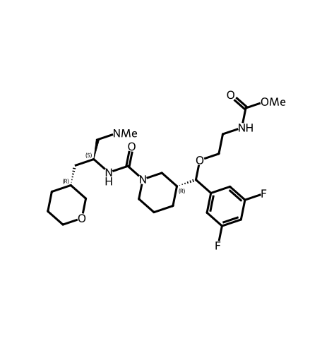 CNC[C@H](C[C@H]1CCCOC1)NC(=O)N1CCC[C@@H](C(OCCNC(=O)OC)c2cc(F)cc(F)c2)C1